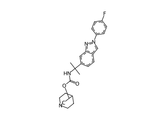 CC(C)(NC(=O)OC1CN2CCC1CC2)c1ccc2cn(-c3ccc(F)cc3)nc2c1